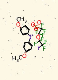 COc1ccc([I+]c2ccc(OC)cc2)cc1.O=S(=O)([O-])C(F)(F)C(F)(F)OC(F)(F)C(F)(F)I